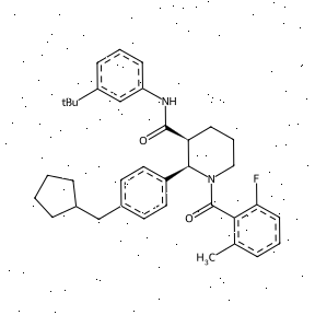 Cc1cccc(F)c1C(=O)N1CCC[C@H](C(=O)Nc2cccc(C(C)(C)C)c2)[C@@H]1c1ccc(CC2CCCC2)cc1